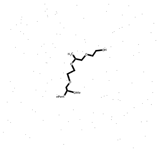 CCCCCC(COCCOC(C)COCCO)OC